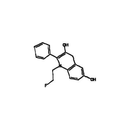 OC1=C(c2ccccc2)N(CCF)c2ccc(O)cc2C1